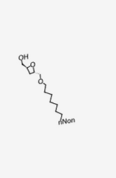 CCCCCCCCCCCCCCCCOC[C@@H]1C[C@@H](CO)O1